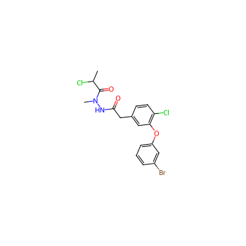 CC(Cl)C(=O)N(C)NC(=O)Cc1ccc(Cl)c(Oc2cccc(Br)c2)c1